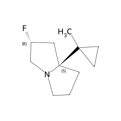 CC1([C@@]23CCCN2C[C@H](F)C3)CC1